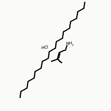 CC(C)=CCN.CCCCCCCCCCCCCCCCCCCC.Cl